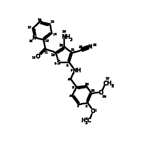 COc1ccc(CNc2sc(C(=O)c3ccccn3)c(N)c2C#N)cc1OC